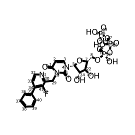 O=c1ccn([C@@H]2O[C@H](COP(=O)(O)OP(=O)(O)OP(=O)(O)O)C(O)[C@@H]2O)c(=O)n1Cc1nccc(-c2ccccc2)c1F